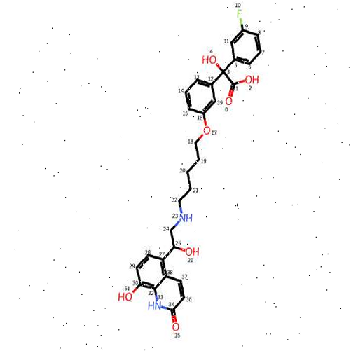 O=C(O)C(O)(c1cccc(F)c1)c1cccc(OCCCCCNCC(O)c2ccc(O)c3[nH]c(=O)ccc23)c1